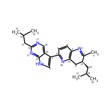 CC1=Nc2ccc(-c3c[nH]c4nc(CC(C)C)ncc34)nc2C[C@@H]1CC(C)C